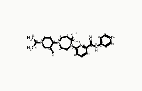 [2H]C1([2H])CCN(C2CCN(C(C)C)CC2F)CCN1c1cccc(C(=O)Nc2ccncc2)n1